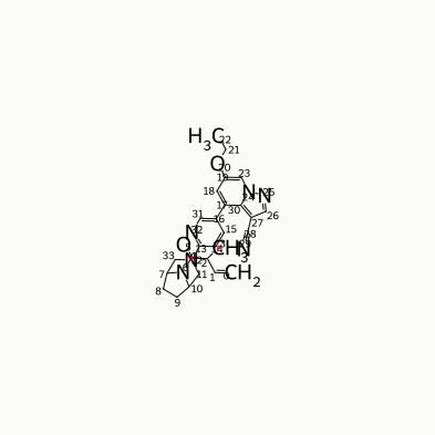 C=CC(C)C(=O)N1C2CCC1CN(c1ccc(-c3cc(OCC)cn4ncc(C#N)c34)cn1)C2